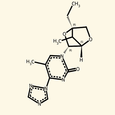 CC[C@]12CO[C@@H](C1C)[C@H](n1cc(C)c(-n3cncn3)nc1=O)O2